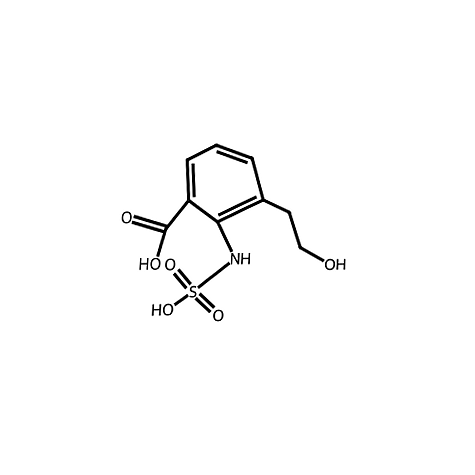 O=C(O)c1cccc(CCO)c1NS(=O)(=O)O